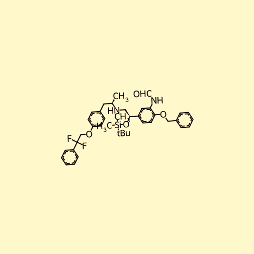 C[C@H](Cc1ccc(OCC(F)(F)c2ccccc2)cc1)NC[C@H](O[Si](C)(C)C(C)(C)C)c1ccc(OCc2ccccc2)c(NC=O)c1